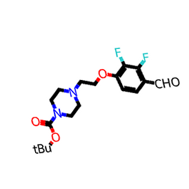 CC(C)(C)OC(=O)N1CCN(CCOc2ccc(C=O)c(F)c2F)CC1